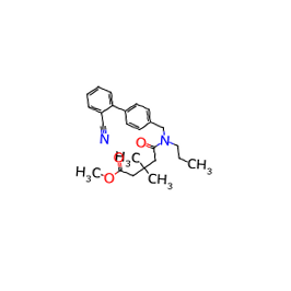 CCCN(Cc1ccc(-c2ccccc2C#N)cc1)C(=O)CC(C)(C)CC(=O)OC